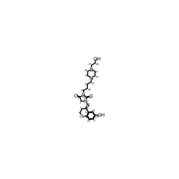 O=C1CN(/N=C2\CCSc3ccc(O)cc32)C(=O)N1CCCCN1CCN(CCO)CC1